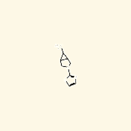 NC1C2CN(c3nccs3)CC12